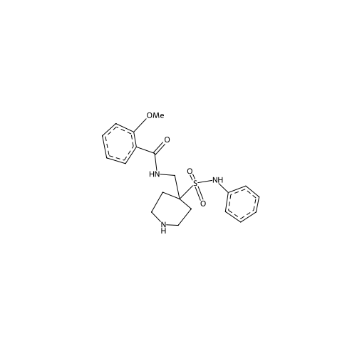 COc1ccccc1C(=O)NCC1(S(=O)(=O)Nc2ccccc2)CCNCC1